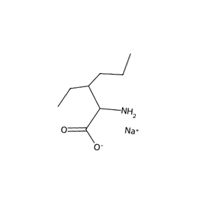 CCCC(CC)C(N)C(=O)[O-].[Na+]